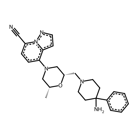 C[C@@H]1CN(c2ccc(C#N)n3nccc23)C[C@H](CN2CCC(N)(c3ccccc3)CC2)O1